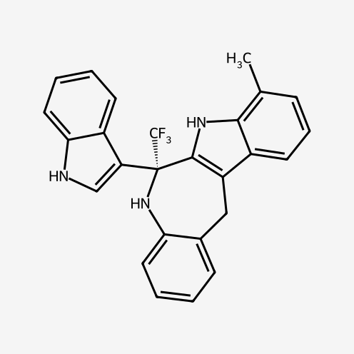 Cc1cccc2c3c([nH]c12)[C@@](c1c[nH]c2ccccc12)(C(F)(F)F)Nc1ccccc1C3